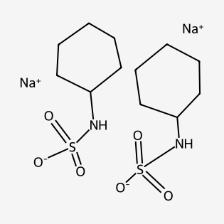 O=S(=O)([O-])NC1CCCCC1.O=S(=O)([O-])NC1CCCCC1.[Na+].[Na+]